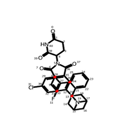 O=C1CCC(N2C(=O)c3cc(F)c(N4CC5CC(C4)N5Cc4ccccc4-c4ccc(Cl)cc4)cc3C2=O)C(=O)N1